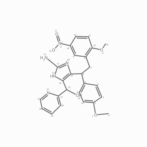 COc1ccc(C(Cc2cc([N+](=O)[O-])ccc2OC)c2nc(N)[nH]c2C(O)c2ccccn2)cc1